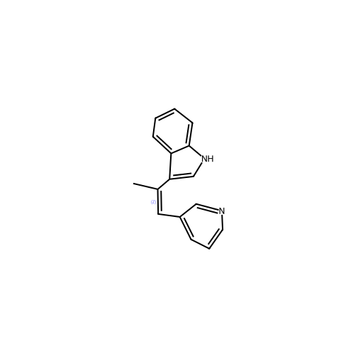 C/C(=C/c1cccnc1)c1c[nH]c2ccccc12